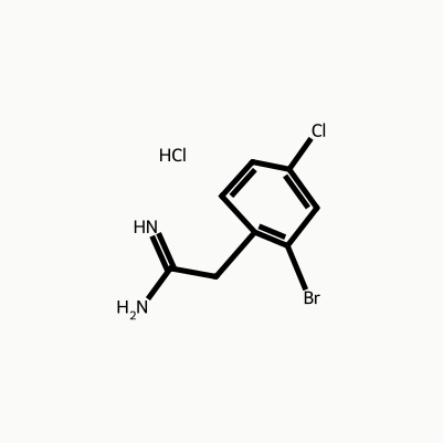 Cl.N=C(N)Cc1ccc(Cl)cc1Br